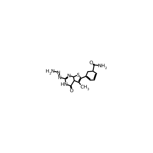 CC1=C(C2=CC=CC(C(N)=O)C2)SC2N=C(N=NN)NC(=O)C12